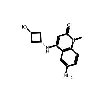 Cn1c(=O)cc(N[C@H]2C[C@H](O)C2)c2cc(N)ccc21